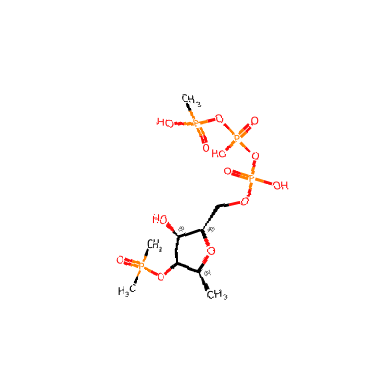 C[C@@H]1O[C@H](COP(=O)(O)OP(=O)(O)OP(C)(=O)O)[C@H](O)C1OP(C)(C)=O